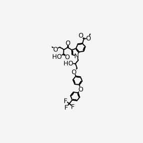 COCC(C(=O)O)C(=O)c1cn(CC(O)COc2ccc(Oc3ccc(C(F)(F)F)cc3)cc2)c2ccc(C(=O)OC)cc12